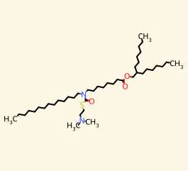 CCCCCCCCCCCCCCN(CCCCCCCC(=O)OCC(CCCCCCC)CCCCCCC)C(=O)SCCN(C)C